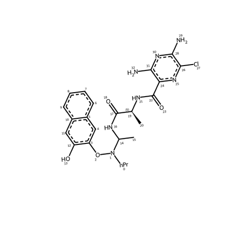 CCCN(Oc1cc2ccccc2cc1O)C(C)NC(=O)[C@H](C)NC(=O)c1nc(Cl)c(N)nc1N